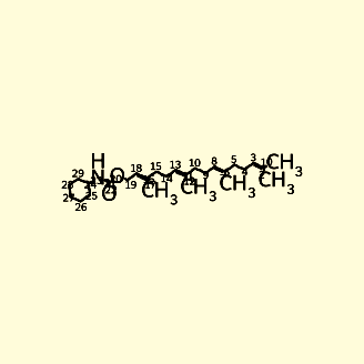 CC(C)=CCC/C(C)=C/CC/C(C)=C/CC/C(C)=C/COC(=O)NC1CCCCC1